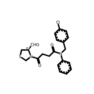 O=C[C@@H]1CSCN1C(=O)CCC(=O)N(Cc1ccc(Cl)cc1)c1ccccc1